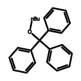 [CH2]CCCOC(c1ccccc1)(c1ccccc1)c1ccccc1